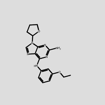 CCOc1cccc(Nc2nc(N)nc3c2ncn3C2CCCO2)c1